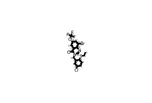 CCSc1ccc(Cl)cc1Cn1cnc2c(Br)cc(OC(F)(F)F)cc2c1=O